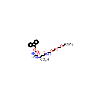 COCCOCCOCCOCCNC(=O)CCC(NC(=O)C(NC(=O)OCC1c2ccccc2-c2ccccc21)C(C)C)C(=O)O